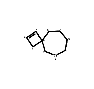 [CH]1OCCCCC12C=CC2